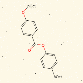 CCCCCCCCOc1ccc(C(=O)Oc2ccc(CCCCCCCC)cc2)cc1